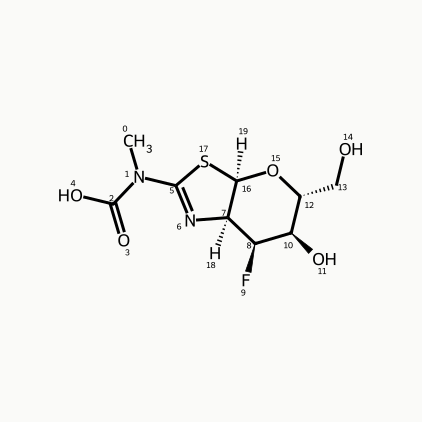 CN(C(=O)O)C1=N[C@@H]2[C@H](F)[C@H](O)[C@@H](CO)O[C@@H]2S1